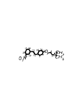 CN(C)CCCOc1ccc(C=Cc2cccc([N+](=O)[O-])c2)cc1